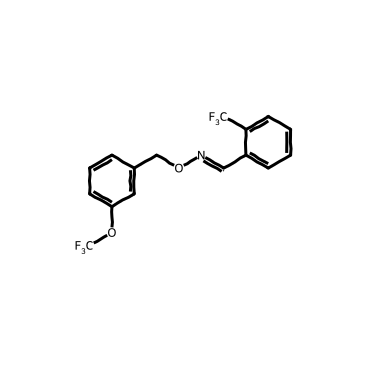 FC(F)(F)Oc1cccc(CON=[C]c2ccccc2C(F)(F)F)c1